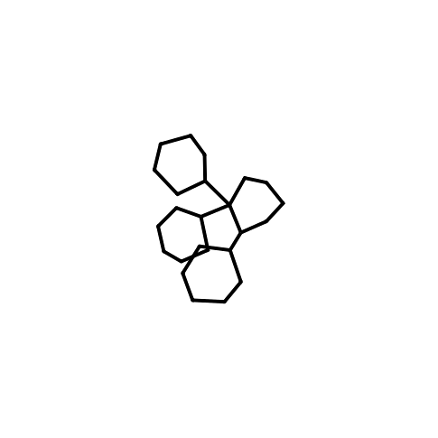 C1CCC(C2CCCCC2(C2CCCCC2)C2CCCCC2)CC1